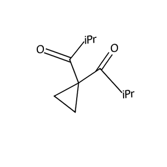 CC(C)C(=O)C1(C(=O)C(C)C)CC1